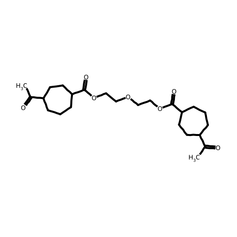 CC(=O)C1CCCC(C(=O)OCCOCCOC(=O)C2CCCC(C(C)=O)CC2)CC1